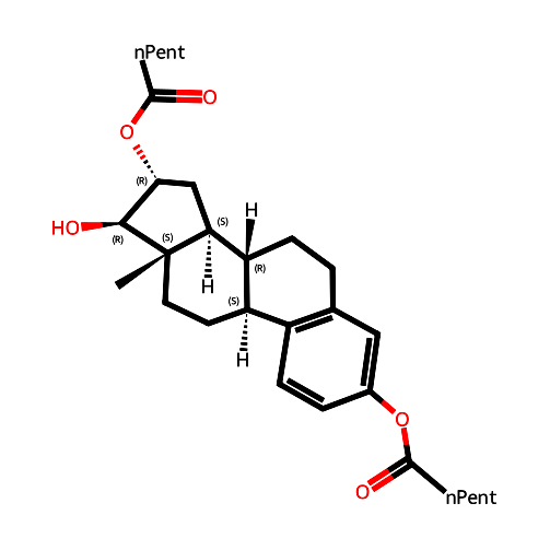 CCCCCC(=O)Oc1ccc2c(c1)CC[C@@H]1[C@@H]2CC[C@]2(C)[C@@H](O)[C@H](OC(=O)CCCCC)C[C@@H]12